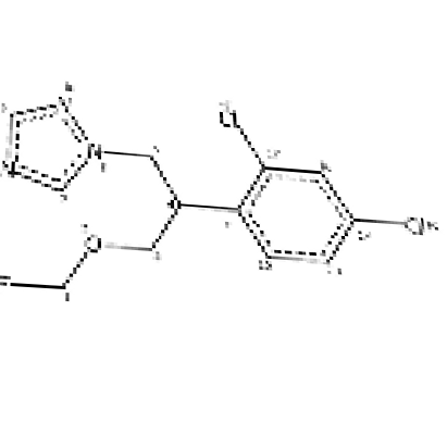 FCOCC(Cn1cncn1)c1ccc(Cl)cc1Cl